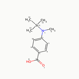 CN(c1ccc(C(=O)O)cc1)[Si](C)(C)C